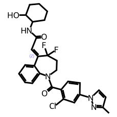 Cc1ccn(-c2ccc(C(=O)N3CCC(F)(F)/C(=C\C(=O)NC4CCCCC4O)c4ccccc43)c(Cl)c2)n1